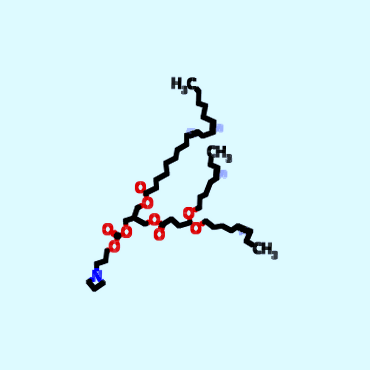 CC/C=C\CCCCOC(CCC(=O)OCC(COC(=O)CCCCCCC/C=C\C/C=C\CCCCC)COC(=O)OCCCN1CCC1)OCCCC/C=C\CC